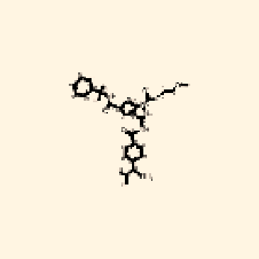 COCCOC(=O)n1nc(NC(=O)c2ccc(C(N)C(C)C)cc2)c2cc(C(=O)NC(C)(C)c3ccccc3)sc21